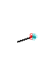 CCCCCCCCCCCCOC(=O)C(F)(F)C(F)(F)F